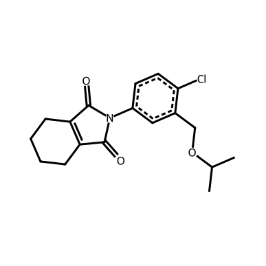 CC(C)OCc1cc(N2C(=O)C3=C(CCCC3)C2=O)ccc1Cl